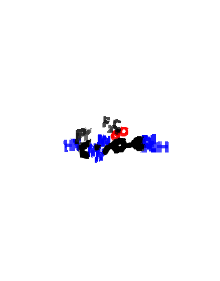 CC(C)N[C@H]1CCN(c2ncc(-c3ccc(-c4cn[nH]c4)cc3OC(=O)C(F)(F)F)nn2)C1